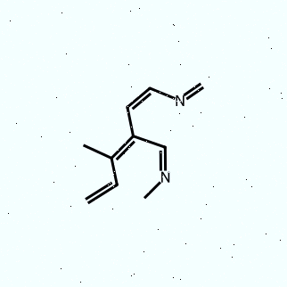 C=C/C(C)=C(/C=C\N=C)\C=N/C